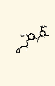 CNc1cc(C)nc(Nc2ccc(OC)c(OC[C@H](C)CN3CCC3)c2)n1